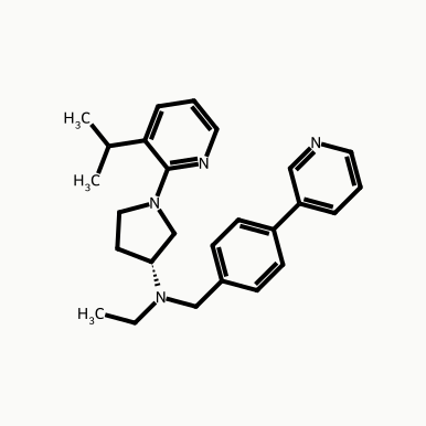 CCN(Cc1ccc(-c2cccnc2)cc1)[C@@H]1CCN(c2ncccc2C(C)C)C1